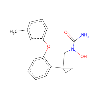 Cc1cccc(Oc2ccccc2C2(CN(O)C(N)=O)CC2)c1